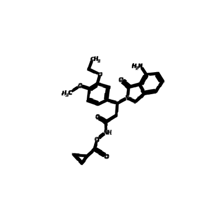 CCOc1cc(C(CC(=O)NOC(=O)C2CC2)N2Cc3cccc(N)c3C2=O)ccc1OC